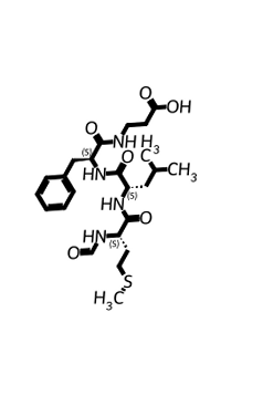 CSCC[C@H](NC=O)C(=O)N[C@@H](CC(C)C)C(=O)N[C@@H](Cc1ccccc1)C(=O)NCCC(=O)O